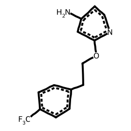 Nc1ccnc(OCCc2ccc(C(F)(F)F)cc2)c1